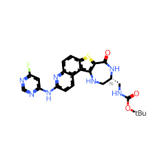 CC(C)(C)OC(=O)NC[C@@H]1CNc2c(sc3ccc4nc(Nc5cc(F)ncn5)ccc4c23)C(=O)N1